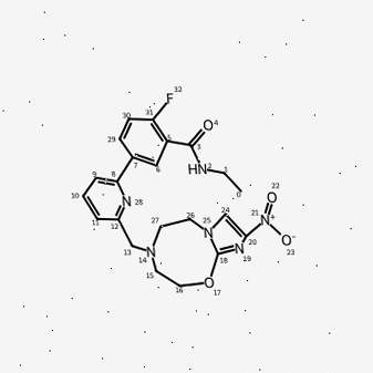 CCNC(=O)c1cc(-c2cccc(CN3CCOc4nc([N+](=O)[O-])cn4CC3)n2)ccc1F